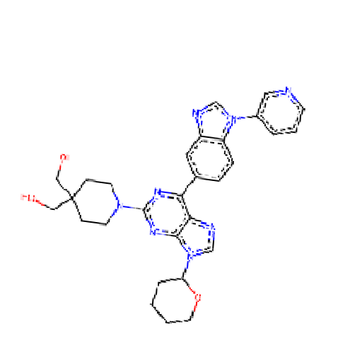 OCC1(CO)CCN(c2nc(-c3ccc4c(c3)ncn4-c3cccnc3)c3ncn(C4CCCCO4)c3n2)CC1